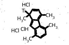 CC1=C2C(=Cc3c(C)ccc(C)c32)[C](C)([Ti])C=C1.Cl.Cl.Cl